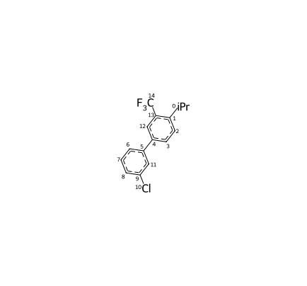 CC(C)c1ccc(-c2cccc(Cl)c2)cc1C(F)(F)F